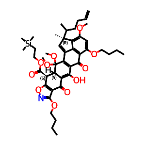 C=CCCC(C)[C@]1(C)C=C2C3=C(C(=O)c4c(OCCCC)cc(OC)c1c42)C(O)=C1C(=O)c2c(OCCCC)noc2[C@@H](C(=O)OCC[Si](C)(C)C)[C@@H]1C3(OC)OC